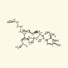 C=C1NC(=O)C=CN1[C@@H]1O[C@H]([C@H]2O[C@H](CCN)N(C(=O)CCCCCCCCCCCCCCC)[C@@H]2C(=O)OC)C(O)C1O